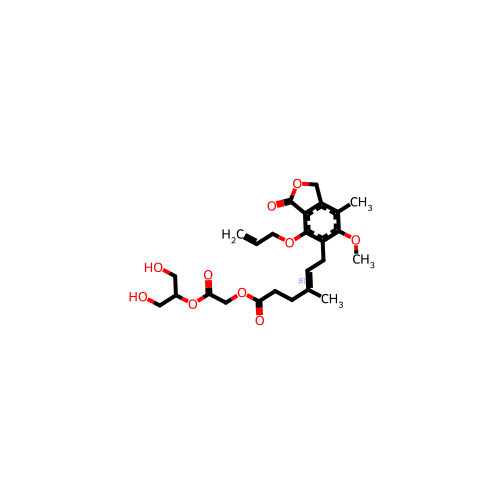 C=CCOc1c(C/C=C(\C)CCC(=O)OCC(=O)OC(CO)CO)c(OC)c(C)c2c1C(=O)OC2